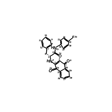 O=C1C=C(N[C@H](Cc2ccccc2)C(=O)Nc2ccc(F)cc2)C(=O)c2ccccc21